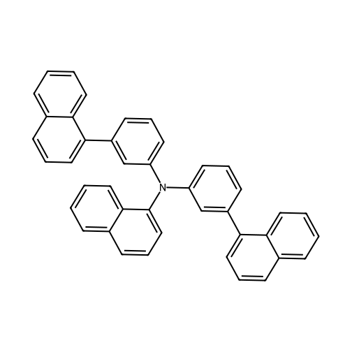 c1cc(-c2cccc3ccccc23)cc(N(c2cccc(-c3cccc4ccccc34)c2)c2cccc3ccccc23)c1